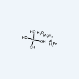 O.O[Si](O)(O)O.[AlH3].[Fe].[MgH2]